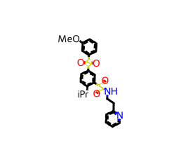 COc1cccc(S(=O)(=O)c2ccc(C(C)C)c(S(=O)(=O)NCCc3ccccn3)c2)c1